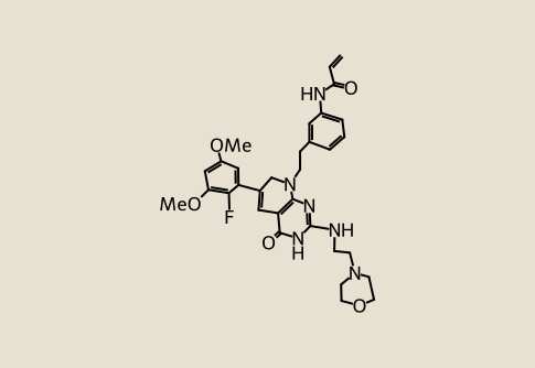 C=CC(=O)Nc1cccc(CCN2CC(c3cc(OC)cc(OC)c3F)=Cc3c2nc(NCCN2CCOCC2)[nH]c3=O)c1